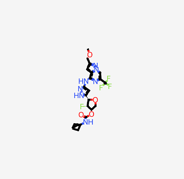 COCc1cc2c(Nc3cc([C@@H]4OC[C@H](OC(=O)NC56CC(C5)C6)[C@@H]4F)[nH]n3)nc(C(F)(F)F)cn2n1